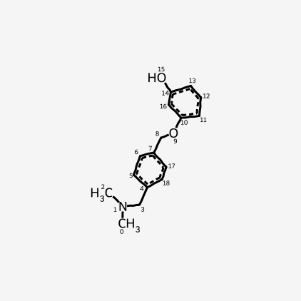 CN(C)Cc1ccc(COc2cccc(O)c2)cc1